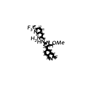 COCc1nc(NCC(N)Cc2ccc(C(F)(F)F)nc2)sc1-c1ccc2cnc(F)cc2c1